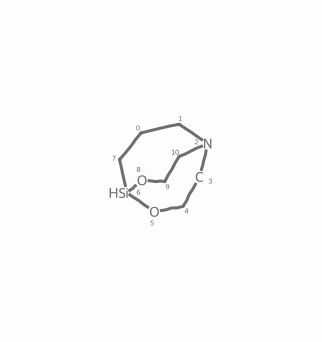 C1CN2CCO[SiH](C1)OCC2